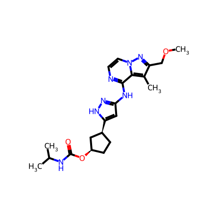 COCc1nn2ccnc(Nc3cc([C@H]4CC[C@@H](OC(=O)NC(C)C)C4)[nH]n3)c2c1C